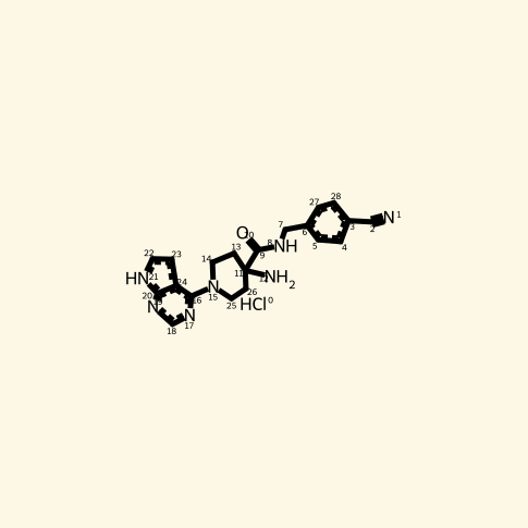 Cl.N#Cc1ccc(CNC(=O)C2(N)CCN(c3ncnc4[nH]ccc34)CC2)cc1